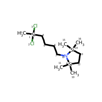 C[Si](Cl)(Cl)CCCCN1[Si](C)(C)CC[Si]1(C)C